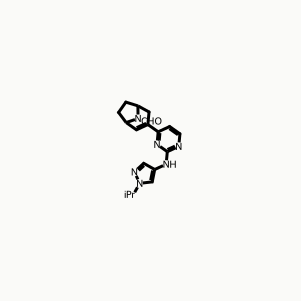 CC(C)n1cc(Nc2nccc(C3=CC4CCC(C3)N4C=O)n2)cn1